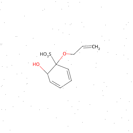 C=CCOC1(S(=O)(=O)O)C=CC=CC1O